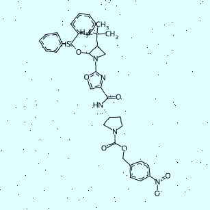 CC(C)(C)C1CN(c2nc(C(=O)N[C@@H]3CCN(C(=O)OCc4ccc([N+](=O)[O-])cc4)C3)co2)C1O[SiH](c1ccccc1)c1ccccc1